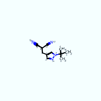 CC(C)(C)n1cc(CC(C#N)C#N)cn1